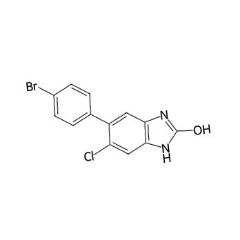 Oc1nc2cc(-c3ccc(Br)cc3)c(Cl)cc2[nH]1